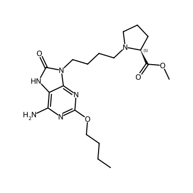 CCCCOc1nc(N)c2[nH]c(=O)n(CCCCN3CCC[C@H]3C(=O)OC)c2n1